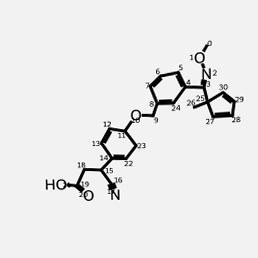 CO/N=C(\c1cccc(COC2C=CC(C(C#N)CC(=O)O)=CC2)c1)C1(C)C=CC=C1